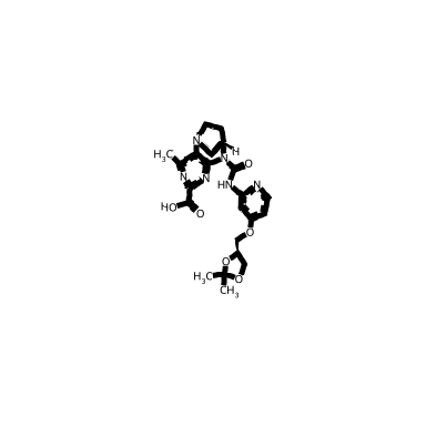 Cc1nc(C(=O)O)nc2c1N1CC[C@@H](C1)N2C(=O)Nc1cc(OC[C@H]2COC(C)(C)O2)ccn1